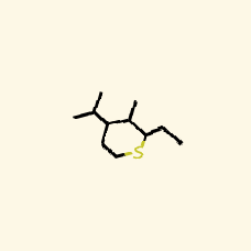 CCC1SCCC(C(C)C)C1C